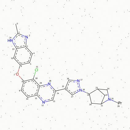 Cc1nc2ccc(Oc3ccc4ncc(-c5cnn(C6CC7CC6CN7C(C)C)c5)nc4c3Cl)cc2[nH]1